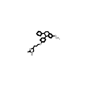 COc1ccc2c(c1)CCC(c1ccccc1)C2c1ccc(OCCCC2CNC(=S)O2)cc1